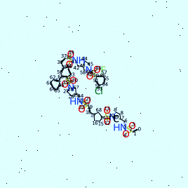 C=CS(=O)(=O)NCC1CCN(S(=O)(=O)C2CCC(/C=C/S(=O)(=O)NCC3CCN(S(=O)(=O)c4ccc(/C=C\S(=O)(=O)NCC5CCN(S(=O)(=O)c6cc(Cl)ccc6F)C5)cc4-c4ccccc4)C3)C2)C1